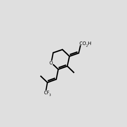 CC1=C(/C=C(\C)C(F)(F)F)OCC/C1=C\C(=O)O